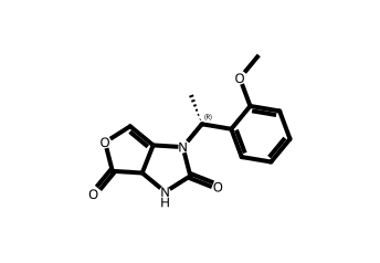 COc1ccccc1[C@@H](C)N1C(=O)NC2C(=O)OC=C21